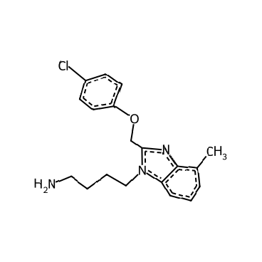 Cc1cccc2c1nc(COc1ccc(Cl)cc1)n2CCCCN